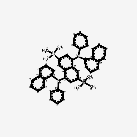 C[Si](C)(C)c1cc(N(c2ccccc2)c2cccc3ccccc23)c2cc([Si](C)(C)C)cc(N(c3ccccc3)c3cccc4ccccc34)c2c1